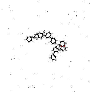 c1ccc(-c2ccc(N(c3ccccc3)c3ccc(-c4ccc5oc6cc7nc(-c8ccccc8)oc7cc6c5c4)cc3)c(-c3ccccc3)c2)cc1